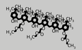 CCOC(=O)COc1ccc(C(C)(C)C)cc1Cc1cc(C(C)(C)C)cc(Cc2cc(C(C)(C)C)cc(Cc3cc(C(C)(C)C)cc(Cc4cc(C(C)(C)C)cc(Cc5cc(C(C)(C)C)ccc5O)c4OCC(=O)OCC)c3O)c2OCC(=O)OCC)c1O